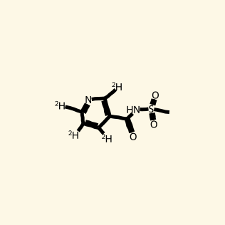 [2H]c1nc([2H])c(C(=O)NS(C)(=O)=O)c([2H])c1[2H]